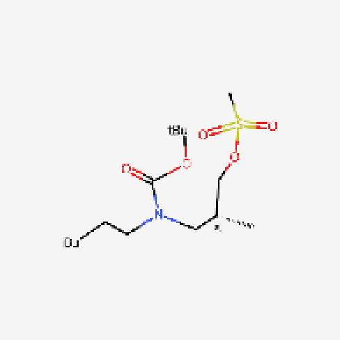 CCC(C)CCN(C[C@@H](C)COS(C)(=O)=O)C(=O)OC(C)(C)C